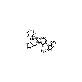 Cc1noc(C)c1-c1cnc2nc(NC3CCOCC3)n(CC3CCCC3)c2c1